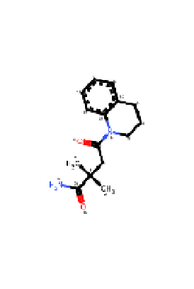 CC(C)([CH]C(=O)N1CCCc2ccccc21)C(N)=O